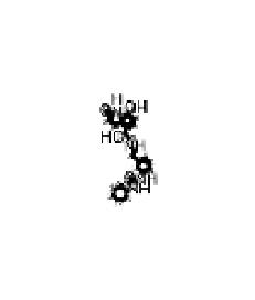 O=C(Nc1cccc(CCNC[C@@H](O)c2ccc(O)c3[nH]c(=O)ccc23)c1)NC1CCCCC1